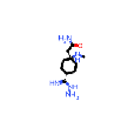 CN[C@]1(CC(N)=O)CC[C@H](C(=N)NN)CC1